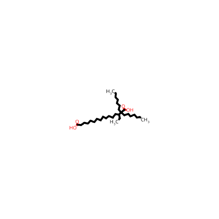 CCCCCCCC(CCCCCCC)(C(=O)O)C(CC)CCCCCCCCCCCCC(=O)O